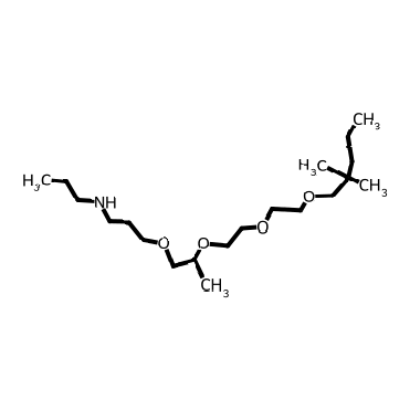 CCCNCCCOCC(C)OCCOCCOCC(C)(C)CCC